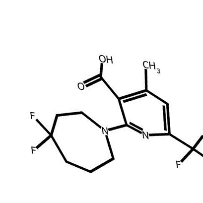 Cc1cc(C(F)(F)F)nc(N2CCCC(F)(F)CC2)c1C(=O)O